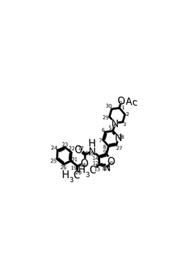 CC(=O)OC1CCN(c2ccc(-c3onc(C)c3NC(=O)OC(C)c3ccccc3)cn2)CC1